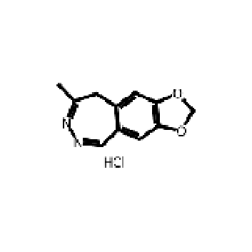 CC1=NN=Cc2cc3c(cc2C1)OCO3.Cl